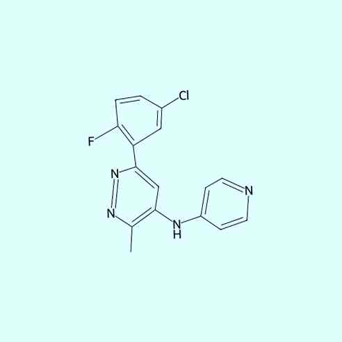 Cc1nnc(-c2cc(Cl)ccc2F)cc1Nc1ccncc1